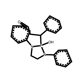 O=CCC(c1ccccc1)[P]1(O)N(c2ccccc2)CCN1c1ccccc1